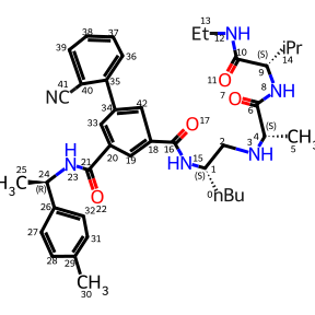 CCCC[C@@H](CN[C@@H](C)C(=O)N[C@H](C(=O)NCC)C(C)C)NC(=O)c1cc(C(=O)N[C@H](C)c2ccc(C)cc2)cc(-c2ccccc2C#N)c1